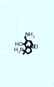 CC1(N)CCc2ccc(CN)c(O)c21.Cl.Cl